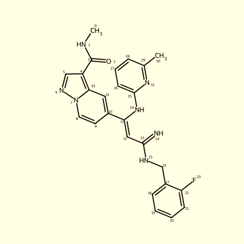 CNC(=O)c1cnn2ccc(/C(=C/C(=N)NCc3ccccc3F)Nc3cccc(C)n3)cc12